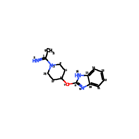 CC(=N)N1CCC(Oc2nc3ccccc3[nH]2)CC1